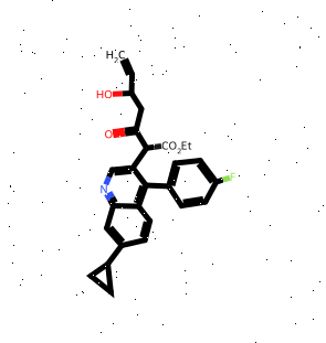 C=CC(O)CC(=O)C(C(=O)OCC)c1cnc2cc(C3CC3)ccc2c1-c1ccc(F)cc1